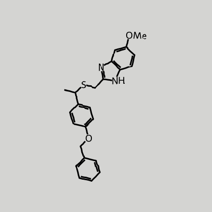 COc1ccc2[nH]c(CSC(C)c3ccc(OCc4ccccc4)cc3)nc2c1